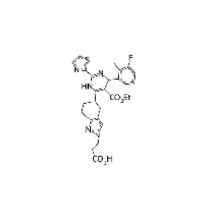 CCOC(=O)C1=C(C2CCc3nn(CCC(=O)O)cc3C2)NC(c2nccs2)=NC1c1cccc(F)c1C